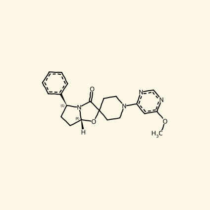 COc1cc(N2CCC3(CC2)O[C@@H]2CC[C@@H](c4ccccc4)N2C3=O)ncn1